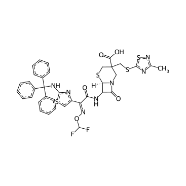 Cc1nsc(SCC2(C(=O)O)CS[C@@H]3C(NC(=O)C(=NOC(F)F)c4csc(NC(c5ccccc5)(c5ccccc5)c5ccccc5)n4)C(=O)N3C2)n1